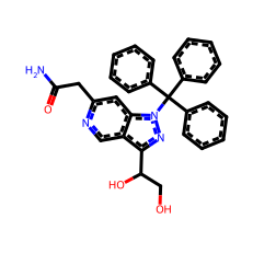 NC(=O)Cc1cc2c(cn1)c(C(O)CO)nn2C(c1ccccc1)(c1ccccc1)c1ccccc1